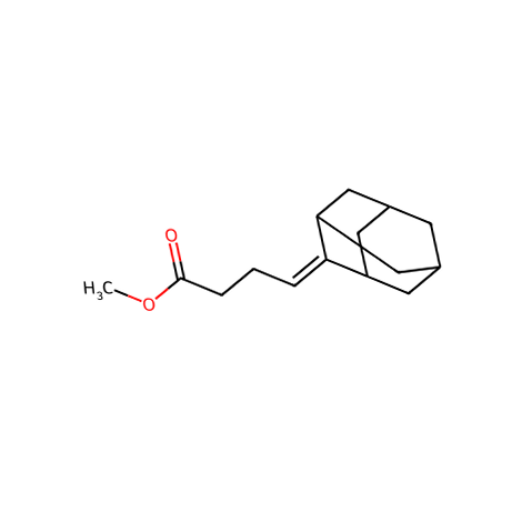 COC(=O)CCC=C1C2CC3CC(C2)CC1C3